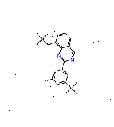 Cc1cc(-c2ncc3cccc(CC(C)(C)C)c3n2)cc(C(C)(C)C)c1